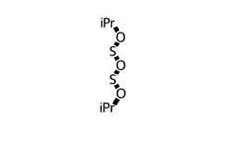 CC(C)OSOSOC(C)C